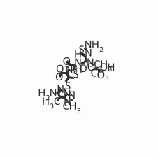 Cc1c(N)nc(SCC2=C(C(=O)[O-])N3C(=O)C(NC(=O)/C(=N\OC(C)(C)C(=O)O)c4csc(N)n4)[C@@H]3SC2)[n+]2ncn(C)c12